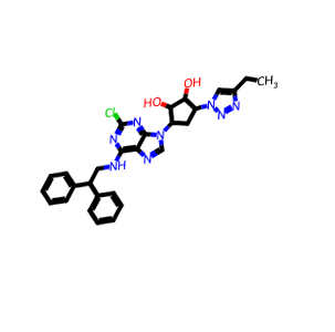 CCc1cn(C2CC(n3cnc4c(NCC(c5ccccc5)c5ccccc5)nc(Cl)nc43)C(O)C2O)nn1